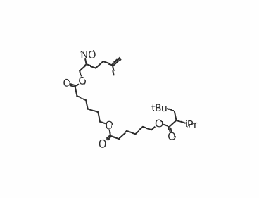 C=C(C)CCC(COC(=O)CCCCCOC(=O)CCCCCOC(=O)C(CC(C)(C)C)C(C)C)N=O